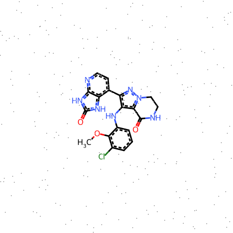 COc1c(Cl)cccc1Nc1c(-c2ccnc3[nH]c(=O)[nH]c23)nn2c1C(=O)NCC2